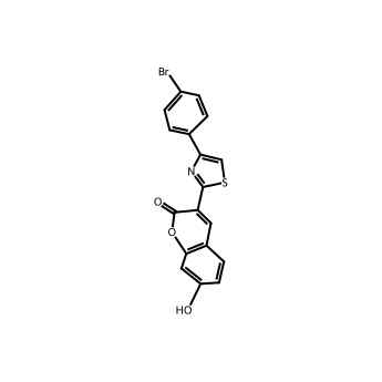 O=c1oc2cc(O)ccc2cc1-c1nc(-c2ccc(Br)cc2)cs1